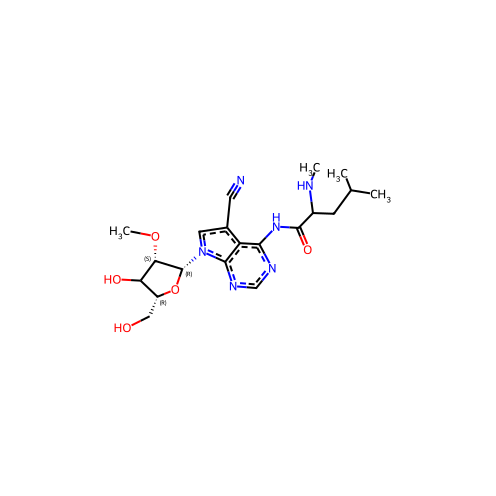 CNC(CC(C)C)C(=O)Nc1ncnc2c1c(C#N)cn2[C@@H]1O[C@H](CO)C(O)[C@@H]1OC